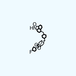 O=C1Nc2ccc(Cc3ccc(CN4CCN(S(=O)(=O)c5ccc(F)cc5)CC4)cc3)c3cccc1c23